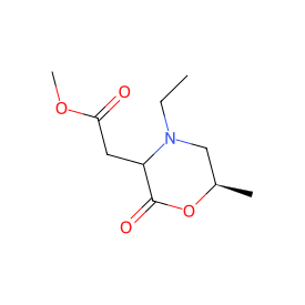 CCN1C[C@@H](C)OC(=O)C1CC(=O)OC